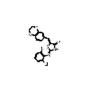 O=C1N/C(=N/c2c(Cl)cccc2Cl)S/C1=C\c1ccc2c(c1)OCCO2